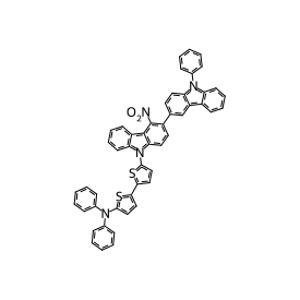 O=[N+]([O-])c1c(-c2ccc3c(c2)c2ccccc2n3-c2ccccc2)ccc2c1c1ccccc1n2-c1ccc(-c2ccc(N(c3ccccc3)c3ccccc3)s2)s1